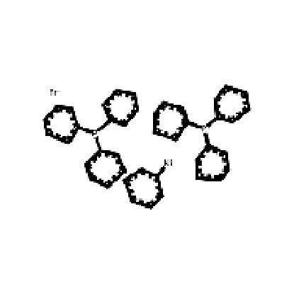 [Br-].[Ni+][c]1ccccc1.c1ccc(P(c2ccccc2)c2ccccc2)cc1.c1ccc(P(c2ccccc2)c2ccccc2)cc1